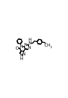 CCc1ccc(CCNc2ncc3c4n[nH]cc4c(=O)n(-c4ccccc4)c3n2)cc1